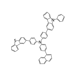 c1ccc(-n2c3ccccc3c3cc(-c4ccc(N(c5ccc(-c6ccc7sc8ccccc8c7c6)cc5)c5ccc(-c6cccc7ccccc67)cc5)cc4)ccc32)cc1